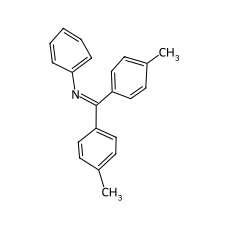 Cc1ccc(C(=Nc2ccccc2)c2ccc(C)cc2)cc1